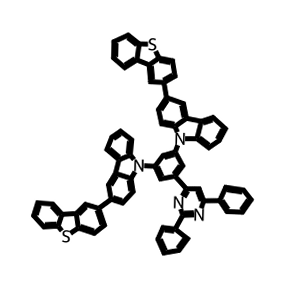 c1ccc(-c2cc(-c3cc(-n4c5ccccc5c5cc(-c6ccc7sc8ccccc8c7c6)ccc54)cc(-n4c5ccccc5c5cc(-c6ccc7sc8ccccc8c7c6)ccc54)c3)nc(-c3ccccc3)n2)cc1